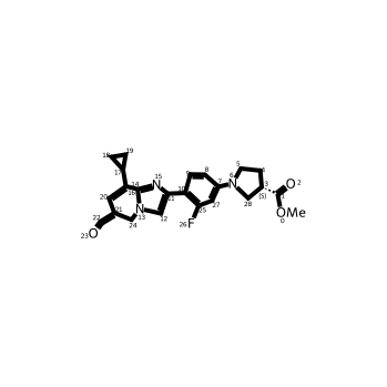 COC(=O)[C@H]1CCN(c2ccc(-c3cn4c(n3)C(C3CC3)=CC(=C=O)C4)c(F)c2)C1